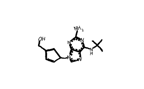 CC(C)(C)Nc1nc(N)nc2c1ncn2C1C=CC(CO)C1